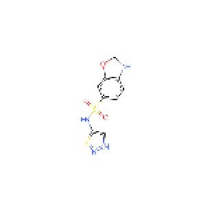 O=S(=O)(Nc1cnns1)c1ccc2c(c1)OCN2